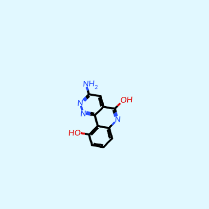 Nc1cc2c(O)nc3cccc(O)c3c2nn1